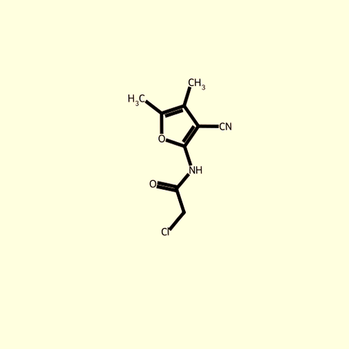 Cc1oc(NC(=O)CCl)c(C#N)c1C